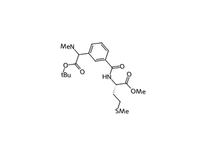 CNC(C(=O)OC(C)(C)C)c1cccc(C(=O)N[C@@H](CCSC)C(=O)OC)c1